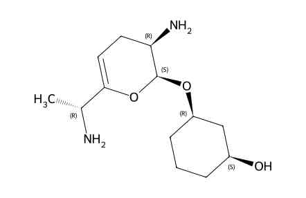 C[C@@H](N)C1=CC[C@@H](N)[C@@H](O[C@@H]2CCC[C@H](O)C2)O1